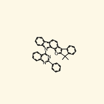 CC1(C)c2ccccc2-c2c1oc1c2ccc2c3ccccc3n(-c3nc(-c4ccccc4)nc4ccccc34)c21